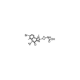 Cc1c(Br)ccc2c3c(nc(C4CC(NC(=O)O)C4)n3C)c(=O)n(C3CC3)c12